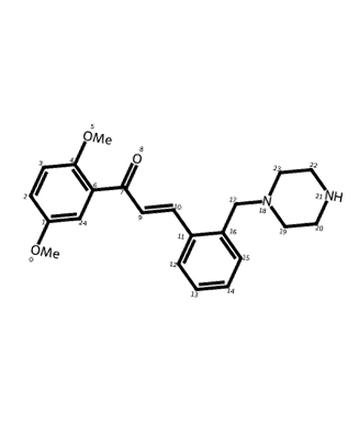 COc1ccc(OC)c(C(=O)C=Cc2ccccc2CN2CCNCC2)c1